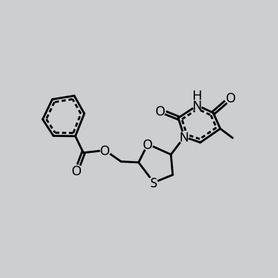 Cc1cn(C2CSC(COC(=O)c3ccccc3)O2)c(=O)[nH]c1=O